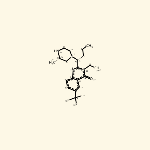 CCC[C@H](c1nc2cnc(C(F)(F)F)cc2c(=O)n1CC)N1CCN[C@@H](C)C1